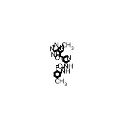 Cc1ccc(F)c(NC(=O)Nc2cncc(C(=O)c3cn(C)c4ncnc(N)c34)c2)c1